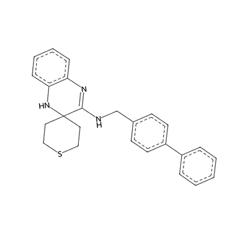 c1ccc(-c2ccc(CNC3=Nc4ccccc4NC34CCSCC4)cc2)cc1